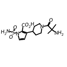 CC(C)(N)C(=O)N1CCC(c2ccn(S(N)(=O)=O)c2C(=O)O)CC1